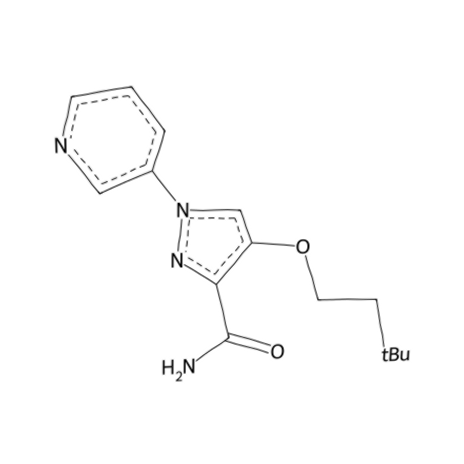 CC(C)(C)CCOc1cn(-c2cccnc2)nc1C(N)=O